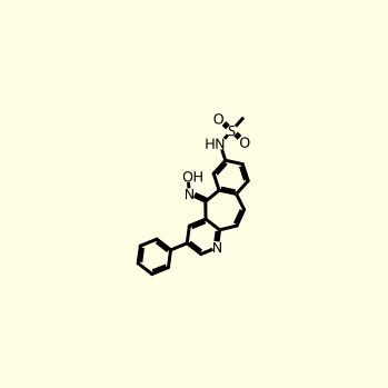 CS(=O)(=O)Nc1ccc2ccc3ncc(-c4ccccc4)cc3c(=NO)c2c1